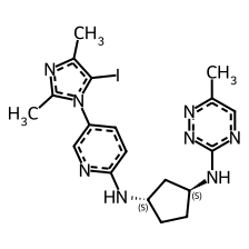 Cc1cnc(N[C@H]2CC[C@H](Nc3ccc(-n4c(C)nc(C)c4I)cn3)C2)nn1